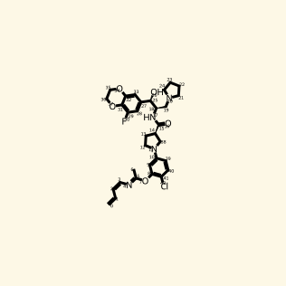 C=C/C=C\N=C(/C)Oc1cc(N2CC[C@@H](C(=O)N[C@H](CN3CCCC3)[C@H](O)c3cc(F)c4c(c3)OCCO4)C2)ccc1Cl